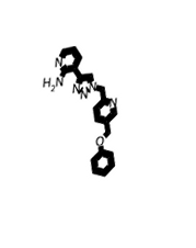 Nc1ncccc1-c1cn(Cc2ccc(COc3ccccc3)cn2)nn1